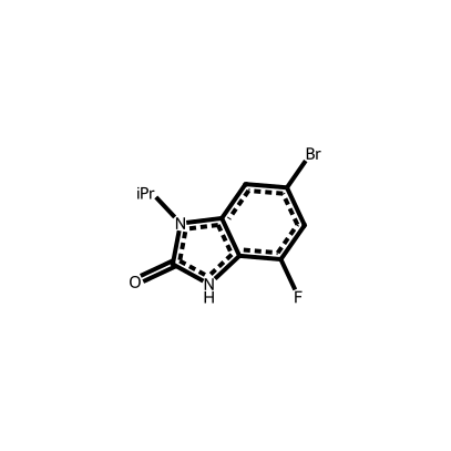 CC(C)n1c(=O)[nH]c2c(F)cc(Br)cc21